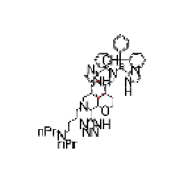 CCCN(CCC)CCCCN(Cc1ccc(CN(C(C)c2ncc[nH]2)C(c2ncc[nH]2)C(c2ccccc2)(c2ccccc2)c2ccccc2)cc1)C(c1nnn[nH]1)C1CCCCO1